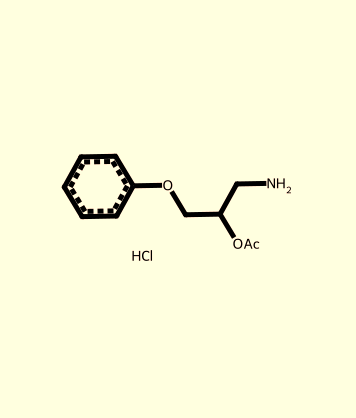 CC(=O)OC(CN)COc1ccccc1.Cl